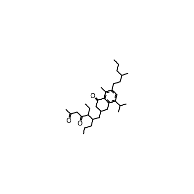 CCCC(C)CCc1cc(C(C)C)c2c(c1C)C(=O)CC(CC(CCC)C(CC)C(=O)CC(C)=O)C2